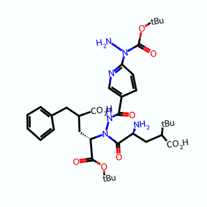 CC(C)(C)OC(=O)[C@H](CC(Cc1ccccc1)C(=O)O)N(NC(=O)c1ccc(N(N)C(=O)OC(C)(C)C)nc1)C(=O)[C@@H](N)CC(C(=O)O)C(C)(C)C